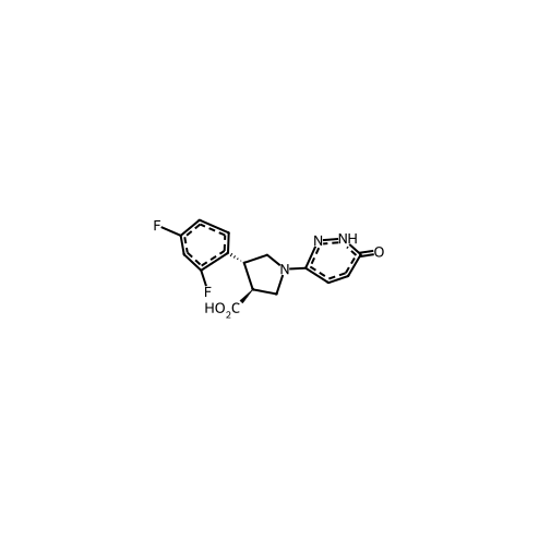 O=C(O)[C@@H]1CN(c2ccc(=O)[nH]n2)C[C@H]1c1ccc(F)cc1F